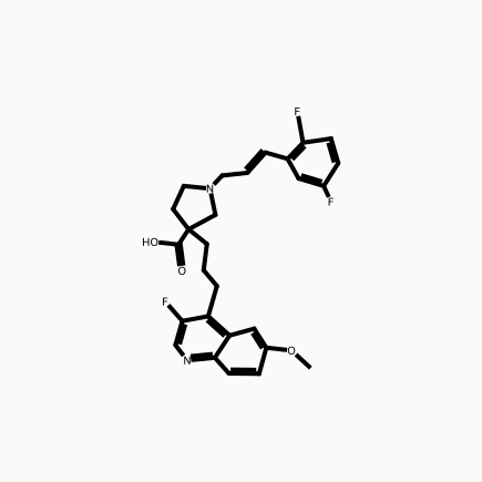 COc1ccc2ncc(F)c(CCCC3(C(=O)O)CCN(CC=Cc4cc(F)ccc4F)C3)c2c1